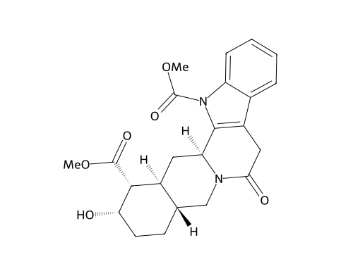 COC(=O)[C@@H]1[C@H]2C[C@H]3c4c(c5ccccc5n4C(=O)OC)CC(=O)N3C[C@@H]2CC[C@@H]1O